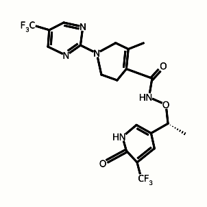 CC1=C(C(=O)NO[C@H](C)c2c[nH]c(=O)c(C(F)(F)F)c2)CCN(c2ncc(C(F)(F)F)cn2)C1